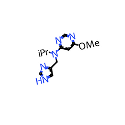 COc1cc(N(Cc2c[nH]cn2)C(C)C)ncn1